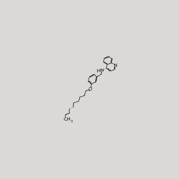 CCCCCCCCCCOc1cccc(CNc2ccnc3ccccc23)c1